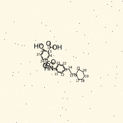 O=C(O)c1cc(S(=O)(=O)Nc2ccc(CCC3CCCCC3)cc2)ccc1O